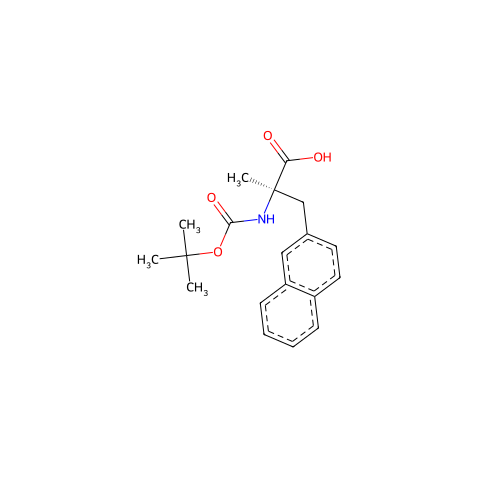 CC(C)(C)OC(=O)N[C@](C)(Cc1ccc2ccccc2c1)C(=O)O